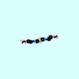 O=S(=O)(c1ccc(N=Cc2ccc3cc(OCC4CO4)ccc3c2)cc1)c1ccc(N=Cc2ccc3cc(OCC4CO4)ccc3c2)cc1